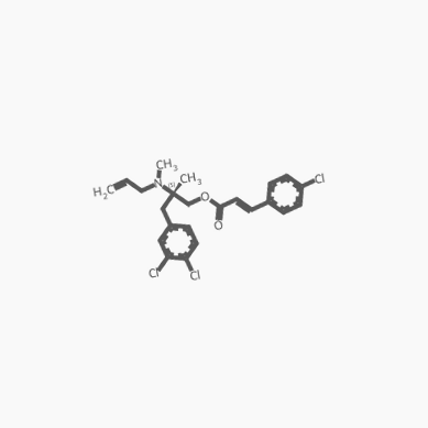 C=CCN(C)[C@](C)([CH]OC(=O)C=Cc1ccc(Cl)cc1)Cc1ccc(Cl)c(Cl)c1